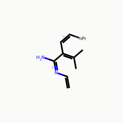 C=C/N=C(/N)C(/C=C\CCC)=C(C)C